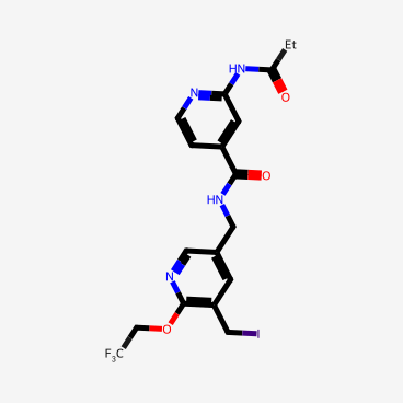 CCC(=O)Nc1cc(C(=O)NCc2cnc(OCC(F)(F)F)c(CI)c2)ccn1